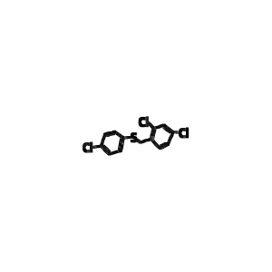 Clc1ccc(SCc2ccc(Cl)cc2Cl)cc1